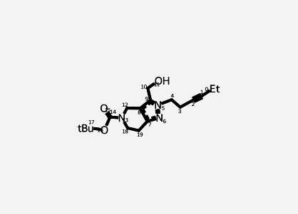 CCC#CCCn1nc2c(c1CO)CN(C(=O)OC(C)(C)C)CC2